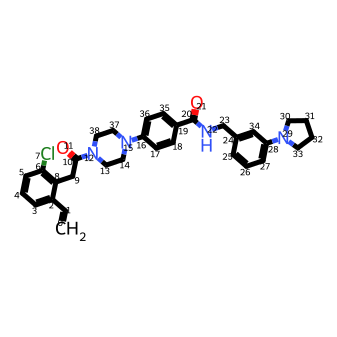 C=Cc1cccc(Cl)c1CC(=O)N1CCN(c2ccc(C(=O)NCc3cccc(N4CCCC4)c3)cc2)CC1